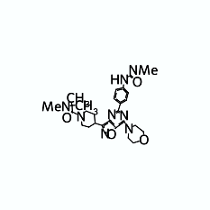 CNC(=O)Nc1ccc(-c2nc(N3CCOCC3)c3onc(C4CCN(C(=O)C(C)(C)NC)CC4)c3n2)cc1